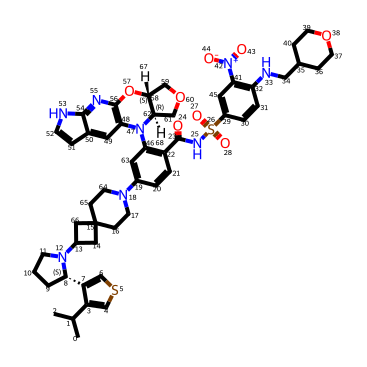 CC(C)c1cscc1[C@@H]1CCCN1C1CC2(CCN(c3ccc(C(=O)NS(=O)(=O)c4ccc(NCC5CCOCC5)c([N+](=O)[O-])c4)c(N4c5cc6cc[nH]c6nc5O[C@@H]5COC[C@H]54)c3)CC2)C1